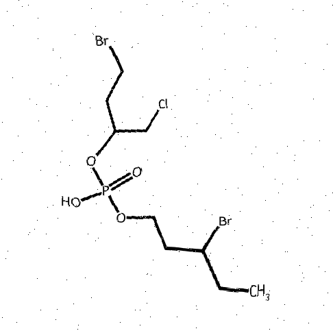 CCC(Br)CCOP(=O)(O)OC(CCl)CCBr